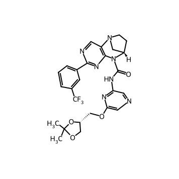 CC1(C)OC[C@@H](COc2cncc(NC(=O)N3c4nc(-c5cccc(C(F)(F)F)c5)ncc4N4CC[C@H]3C4)n2)O1